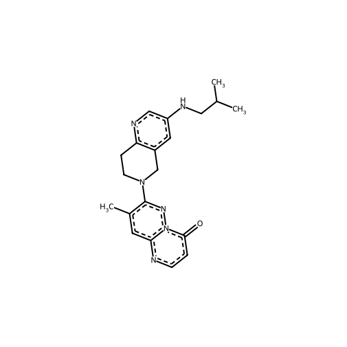 Cc1cc2nccc(=O)n2nc1N1CCc2ncc(NCC(C)C)cc2C1